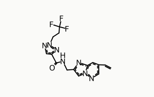 C=Cc1cnn2cc(CNC(=O)c3cnn(CCC(F)(F)F)n3)nc2c1